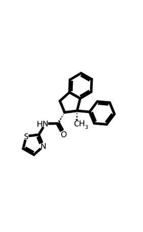 C[C@@]1(c2ccccc2)c2ccccc2C[C@H]1C(=O)Nc1nccs1